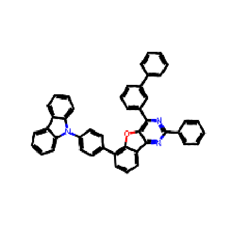 c1ccc(-c2cccc(-c3nc(-c4ccccc4)nc4c3oc3c(-c5ccc(-n6c7ccccc7c7ccccc76)cc5)cccc34)c2)cc1